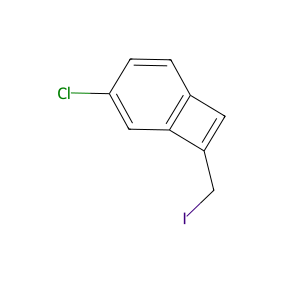 Clc1ccc2c(c1)C(CI)=C2